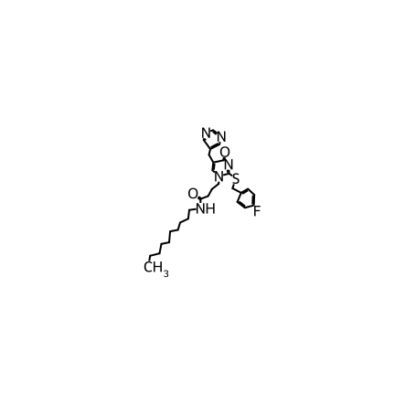 CCCCCCCCCCNC(=O)CCCn1cc(Cc2cncnc2)c(=O)nc1SCc1ccc(F)cc1